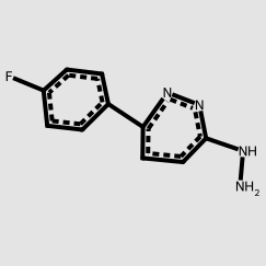 NNc1ccc(-c2ccc(F)cc2)nn1